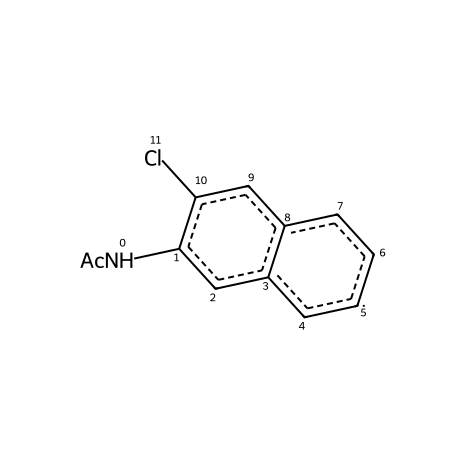 CC(=O)Nc1cc2c[c]ccc2cc1Cl